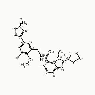 COc1c(F)cc(-c2cnn(C)c2)cc1CNC(=O)c1ncnc2nc(C3CCCC3)n(C)c12